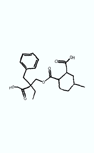 CCC(COC(=O)C1CCC(C)CC1C(=O)O)(Cc1ccccc1)C(=O)O